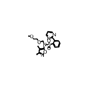 COCCOCN(c1onc(C)c1C)S(=O)(=O)c1ccccc1-c1ncccn1